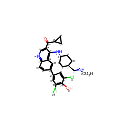 O=C(O)NC[C@H]1CC[C@H](Nc2c(C(=O)C3CC3)cnc3ccc(-c4cc(Cl)c(O)c(Cl)c4)cc23)CC1